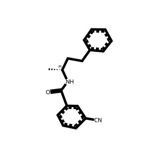 C[C@H](CCc1ccccc1)NC(=O)c1cccc(C#N)c1